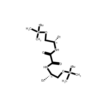 CC[C@@H](CO[Si](C)(C)C(C)(C)C)NC(=O)C(=O)N[C@@H](CC)CO[Si](C)(C)C(C)(C)C